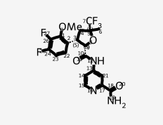 COc1c([C@@H]2C[C@@](C)(C(F)(F)F)O[C@@H]2C(=O)Nc2ccnc(C(N)=O)c2)ccc(F)c1F